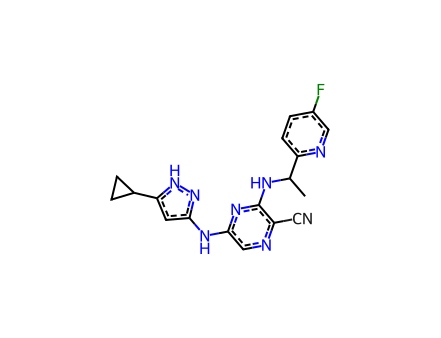 CC(Nc1nc(Nc2cc(C3CC3)[nH]n2)cnc1C#N)c1ccc(F)cn1